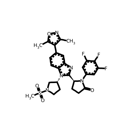 Cc1noc(C)c1-c1ccc2c(c1)nc([C@@H]1CCC(=O)N1c1cc(F)c(F)c(F)c1)n2[C@@H]1CCN(S(C)(=O)=O)C1